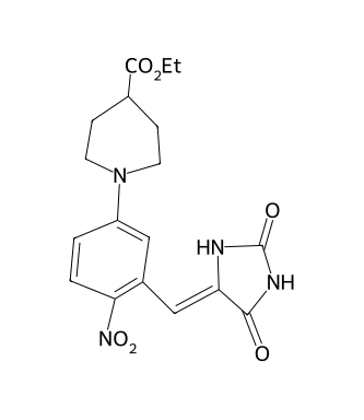 CCOC(=O)C1CCN(c2ccc([N+](=O)[O-])c(C=C3NC(=O)NC3=O)c2)CC1